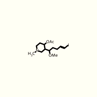 COC(CCC=CI)C1CN(C)CCC1OC(C)=O